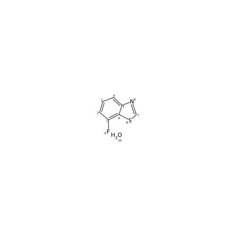 Fc1cccc2ncsc12.O